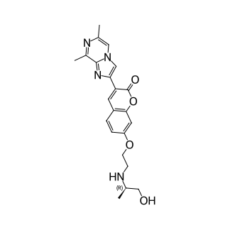 Cc1cn2cc(-c3cc4ccc(OCCN[C@H](C)CO)cc4oc3=O)nc2c(C)n1